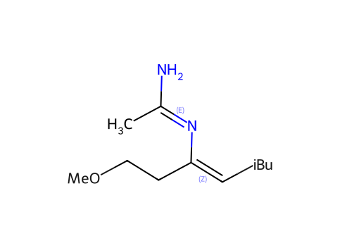 CCC(C)/C=C(CCOC)\N=C(/C)N